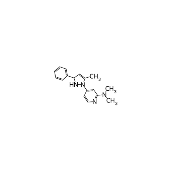 CC1=CC(c2ccccc2)NN1c1ccnc(N(C)C)c1